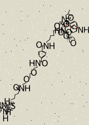 CC(C)CN(C[C@@H](OC(=O)CCCCCNC(=O)c1ccc(C(=O)NCCOCCOCCNC(=O)CCCC[C@@H]2SC[C@@H]3NC(=O)N[C@@H]32)cc1)[C@H](Cc1ccccc1)NC(=O)O[C@H]1CCOC1)S(=O)(=O)c1ccc(N)cc1